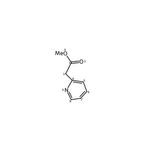 COC(=O)Cc1cc[c]cn1